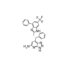 Nc1cc([C@H](Cc2nc3c(-c4ccccc4)cc(C(F)(F)F)cc3[nH]2)c2ccccc2)c2nn[nH]c2n1